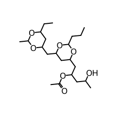 CCCC1OC(CC(CC(C)O)OC(C)=O)CC(CC2CC(CC)OC(C)O2)O1